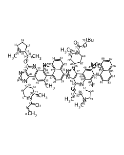 C=CC(=O)N1CC[C@H](n2nnc3c(O[C@@H](C)[C@@H]4CCCN4C)nc4c(F)c(-c5cccc6cccc(C#N)c56)c(C)cc4c32)C[C@H]1C.Cc1cc2c(nc(O[C@@H](C)[C@@H]3CCCN3C)c3nnn([C@H]4CCN(C(=O)OC(C)(C)C)[C@H](C)C4)c32)c(F)c1-c1cccc2cccc(C#N)c12